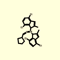 CCc1ccc(CC)c2c1C=C(C)[CH]2[Hf](=[Si]=CC1CCCC1)[CH]1C(C)=Cc2c(CC)ccc(CC)c21